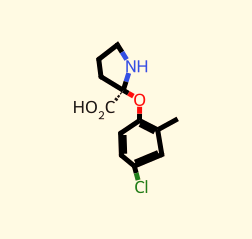 Cc1cc(Cl)ccc1O[C@@]1(C(=O)O)CCCN1